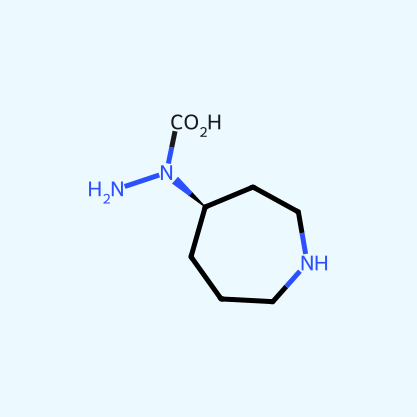 NN(C(=O)O)[C@@H]1CCCNCC1